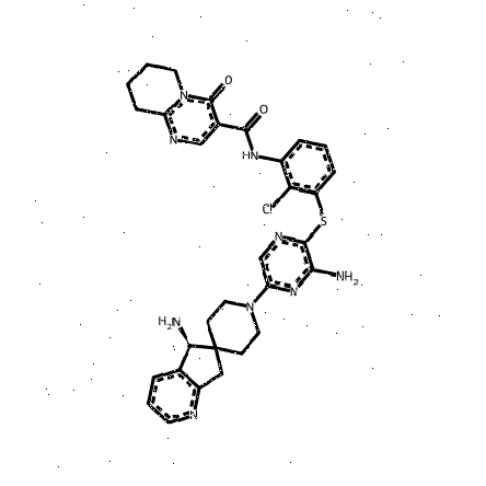 Nc1nc(N2CCC3(CC2)Cc2ncccc2[C@H]3N)cnc1Sc1cccc(NC(=O)c2cnc3n(c2=O)CCCC3)c1Cl